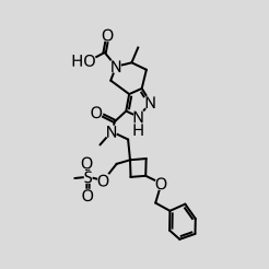 CC1Cc2n[nH]c(C(=O)N(C)CC3(COS(C)(=O)=O)CC(OCc4ccccc4)C3)c2CN1C(=O)O